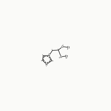 CCOC(Cn1ccnc1)OCC